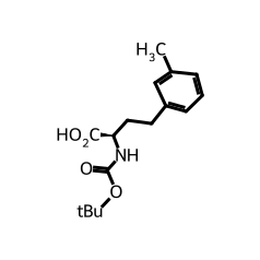 Cc1cccc(CC[C@@H](NC(=O)OC(C)(C)C)C(=O)O)c1